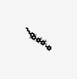 CCCCCC1CC[C@@H]2C[C@H](c3ccc(-c4ccc(OCc5ccccc5)c(F)c4)c(F)c3)CC[C@@H]2C1